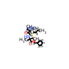 CCCCSC(NC(CC)(CC)C(=O)OCc1ccccc1)C(=O)C(C)(CC)NC